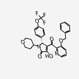 O=C(C1=C(O)C(=O)N(C2CCOCC2)[C@@H]1c1ccc(OC(F)(F)F)cc1)c1ncccc1OCc1ccccc1